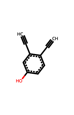 C#Cc1ccc(O)cc1C#C